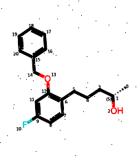 C[C@H](O)[CH]CCc1ccc(F)cc1OCc1ccccc1